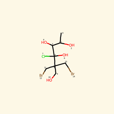 CC(O)C(O)C(O)(Cl)C(CO)(CBr)CBr